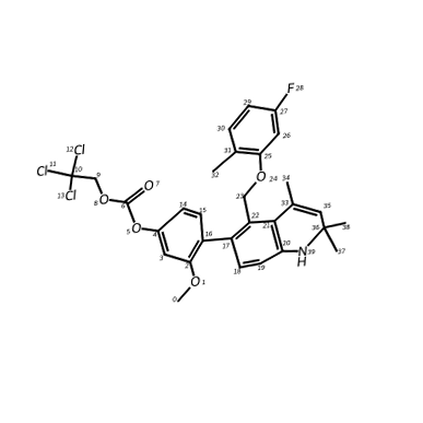 COc1cc(OC(=O)OCC(Cl)(Cl)Cl)ccc1-c1ccc2c(c1COc1cc(F)ccc1C)C(C)=CC(C)(C)N2